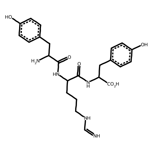 N=CNCCCC(NC(=O)C(N)Cc1ccc(O)cc1)C(=O)NC(Cc1ccc(O)cc1)C(=O)O